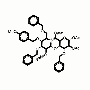 COC(=O)C1O[C@H](OC(C)=O)C(OC(C)=O)[C@H](OCc2ccccc2)[C@@H]1O[C@H]1OC(COCc2ccccc2)[C@@H](OCc2ccc(OC)cc2)[C@@H](OCc2ccccc2)C1N=[N+]=[N-]